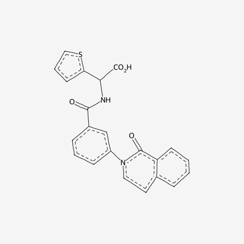 O=C(NC(C(=O)O)c1cccs1)c1cccc(-n2ccc3ccccc3c2=O)c1